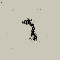 Cn1c(=O)n(C2CCC(=O)NC2=O)c2ccc(C3CCN(C[C@H]4CC[C@H](n5cc6cc(NC(=O)c7cccc(C(C)(C)F)n7)c(C(F)F)cc6n5)CC4)CC3)cc21